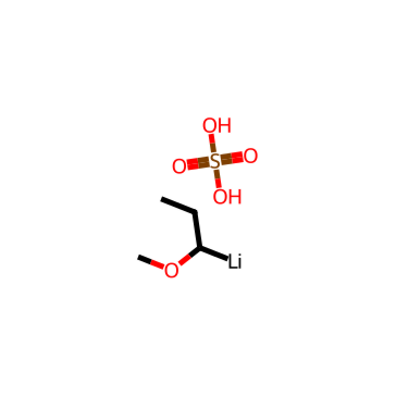 O=S(=O)(O)O.[Li][CH](CC)OC